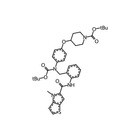 Cn1c(C(=O)Nc2ccccc2CN(C(=O)OC(C)(C)C)c2ccc(OC3CCN(C(=O)OC(C)(C)C)CC3)cc2)cc2sccc21